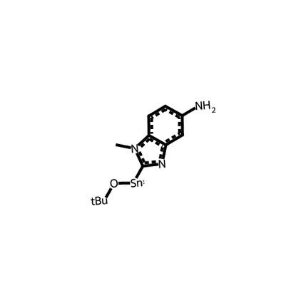 Cn1[c]([Sn][O]C(C)(C)C)nc2cc(N)ccc21